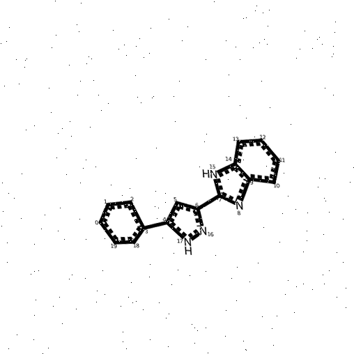 c1ccc(-c2cc(-c3nc4ccccc4[nH]3)n[nH]2)cc1